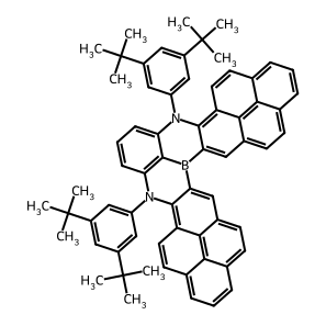 CC(C)(C)c1cc(N2c3cccc4c3B(c3cc5ccc6cccc7ccc(c32)c5c67)c2cc3ccc5cccc6ccc(c2N4c2cc(C(C)(C)C)cc(C(C)(C)C)c2)c3c56)cc(C(C)(C)C)c1